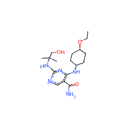 CCO[C@H]1CC[C@@H](Nc2nc(NC(C)(C)CO)ncc2C(N)=O)CC1